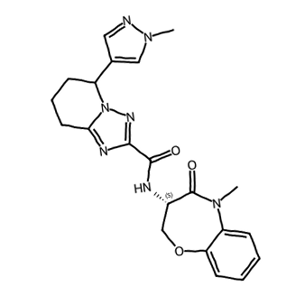 CN1C(=O)[C@@H](NC(=O)c2nc3n(n2)C(c2cnn(C)c2)CCC3)COc2ccccc21